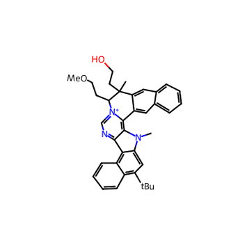 COCCC1[n+]2cnc3c4c5ccccc5c(C(C)(C)C)cc4n(C)c3c2-c2cc3ccccc3cc2C1(C)CCO